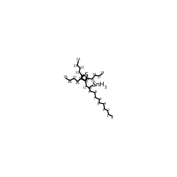 CCCCCCCCCC[CH]([SnH3])Cc1c(CCCC)sc(CCCC)c1CCCC